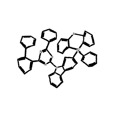 c1ccc(-c2nc(-c3ccccc3-c3ccccc3)nc(-n3c4ccccc4c4ccc([Si]5(c6ccccc6)c6ccccc6Sc6ccccc65)cc43)n2)cc1